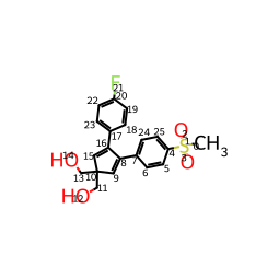 CS(=O)(=O)c1ccc(C2=CC(CO)(CO)C=C2c2ccc(F)cc2)cc1